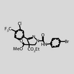 CCOC(=O)C1(C(=O)OC)CN(C(=O)Nc2ccc(Br)cc2)N=C1c1ccc(C(F)(F)F)c(Cl)c1